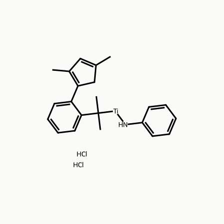 CC1=CC(C)=C(c2ccccc2[C](C)(C)[Ti][NH]c2ccccc2)C1.Cl.Cl